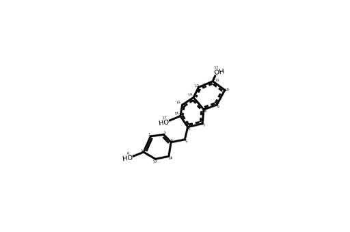 OC1=CC=C(Cc2cc3ccc(O)cc3cc2O)CC1